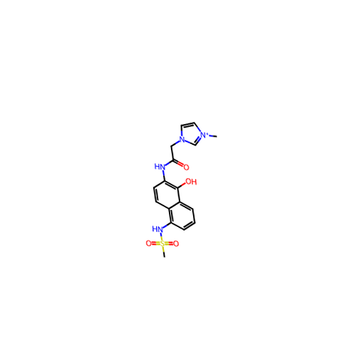 C[n+]1ccn(CC(=O)Nc2ccc3c(NS(C)(=O)=O)cccc3c2O)c1